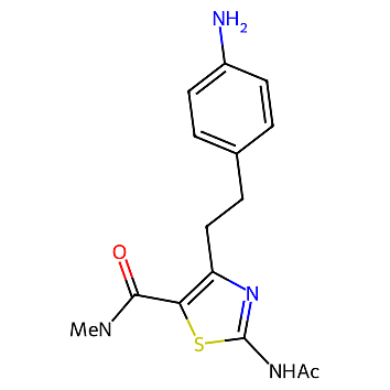 CNC(=O)c1sc(NC(C)=O)nc1CCc1ccc(N)cc1